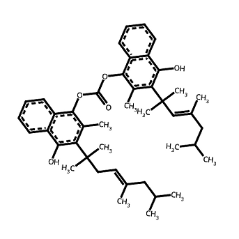 C/C(=C\CC(C)(C)c1c(C)c(OC(=O)Oc2c(C)c(C(C)(C)/C=C(\C)CC(C)C)c(O)c3ccccc23)c2ccccc2c1O)CC(C)C